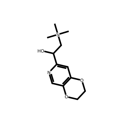 C[Si](C)(C)CC(O)c1cc2c(cn1)OCCO2